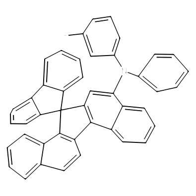 Fc1cccc(N(c2ccccc2)c2cc3c(c4ccccc24)-c2ccc4ccccc4c2C32c3ccccc3-c3ccccc32)c1